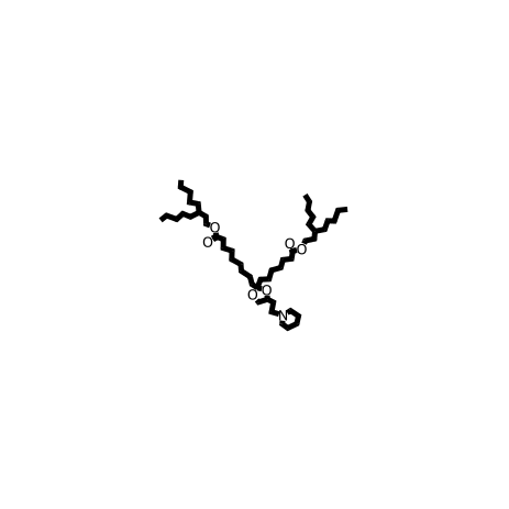 CCCCCC(CCCCC)CCOC(=O)CCCCCCCCC1(CCCCCCC(=O)OCCC(CCCCC)CCCCC)OCC(CCN2CCCCC2)O1